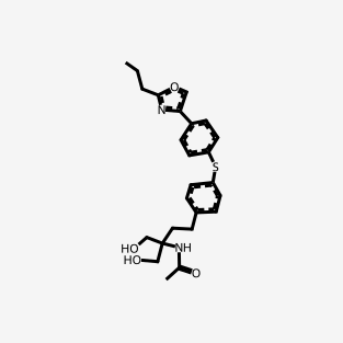 CCCc1nc(-c2ccc(Sc3ccc(CCC(CO)(CO)NC(C)=O)cc3)cc2)co1